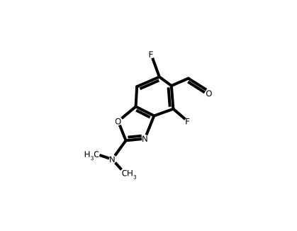 CN(C)c1nc2c(F)c(C=O)c(F)cc2o1